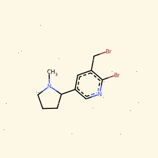 CN1CCCC1c1cnc(Br)c(CBr)c1